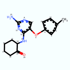 Cc1ccc(Oc2cnc(N)nc2NC2CCCCC2=O)cc1